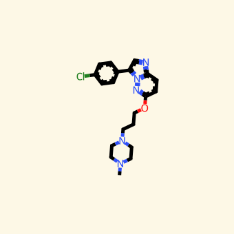 CN1CCN(CCCOc2ccc3ncc(-c4ccc(Cl)cc4)n3n2)CC1